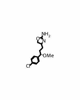 CO[C@@H](CCC1COC(N)=N1)c1ccc(Cl)cc1